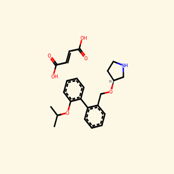 CC(C)Oc1ccccc1-c1ccccc1CO[C@H]1CCNC1.O=C(O)C=CC(=O)O